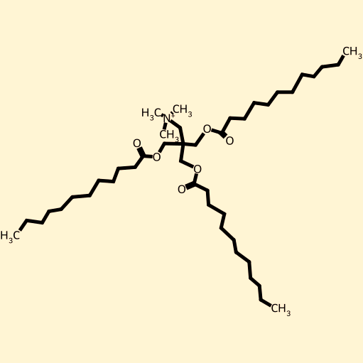 CCCCCCCCCCCC(=O)OCC(COC(=O)CCCCCCCCCCC)(COC(=O)CCCCCCCCCCC)C[N+](C)(C)C